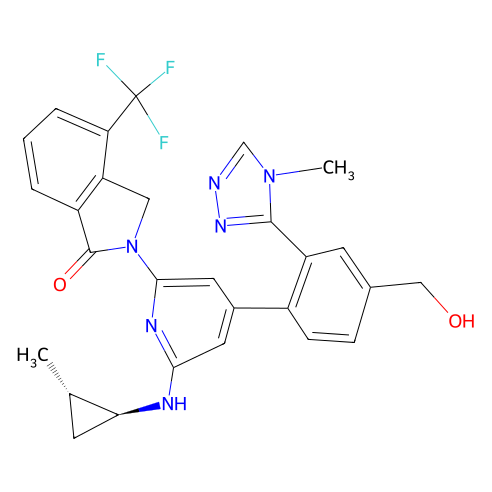 C[C@H]1C[C@@H]1Nc1cc(-c2ccc(CO)cc2-c2nncn2C)cc(N2Cc3c(cccc3C(F)(F)F)C2=O)n1